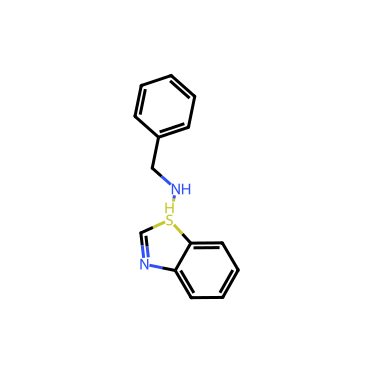 C1=Nc2ccccc2[SH]1NCc1ccccc1